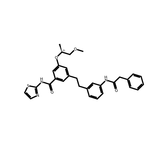 COC[C@H](C)Oc1cc(CCc2cccc(NC(=O)Cc3ccccc3)c2)cc(C(=O)Nc2nccs2)c1